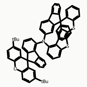 CC(C)(C)c1ccc2c(c1)C1(c3cc(C(C)(C)C)ccc3O2)c2ccccc2-c2c(N(c3ccc4c(c3)C3(c5ccccc5Sc5ccccc53)c3ccccc3-4)c3cccc4sc5ccccc5c34)cccc21